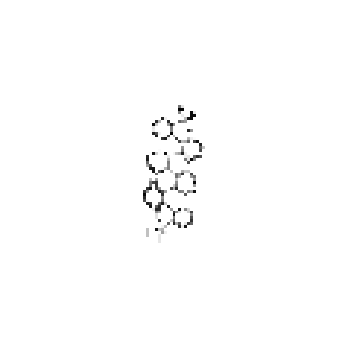 FC(F)(F)c1ccccc1-c1cccnc1-c1ccccc1-c1ccccc1-c1ncccc1-c1ccccc1C(F)(F)F